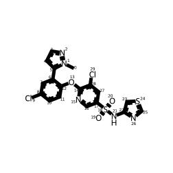 Cn1nccc1-c1cc(Cl)ccc1Oc1ncc(S(=O)(=O)Nc2cscn2)cc1Cl